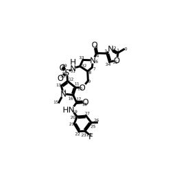 Cc1nc(C(=O)N2CC3COc4c(cn(C)c4C(=O)Nc4ccc(F)c(C)c4)S(=O)(=O)NC3C2)co1